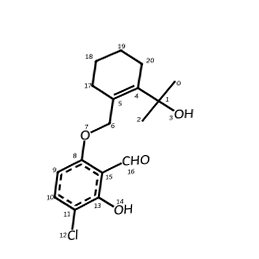 CC(C)(O)C1=C(COc2ccc(Cl)c(O)c2C=O)CCCC1